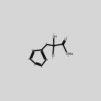 COC(=O)C(S)(Cl)Cc1ccccc1